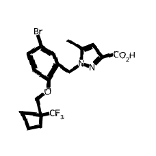 Cc1cc(C(=O)O)nn1Cc1cc(Br)ccc1OCC1(C(F)(F)F)CCC1